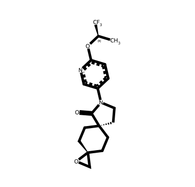 C[C@@H](Oc1ccc(N2CC[C@]3(CC[C@@]4(CC3)CO4)C2=O)cn1)C(F)(F)F